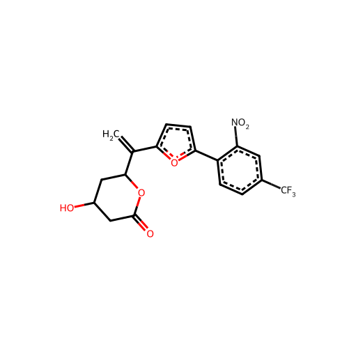 C=C(c1ccc(-c2ccc(C(F)(F)F)cc2[N+](=O)[O-])o1)C1CC(O)CC(=O)O1